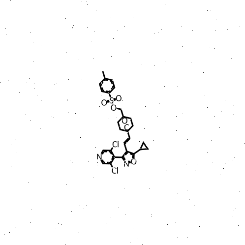 Cc1ccc(S(=O)(=O)OCC23CCC(C=Cc4c(-c5c(Cl)cncc5Cl)noc4C4CC4)(CC2)CO3)cc1